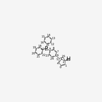 C1=C[C@@H]2CC1C(c1ccc(P(c3ccccc3)c3ccccc3)cc1)C2